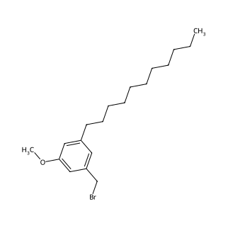 CCCCCCCCCCCc1cc(CBr)cc(OC)c1